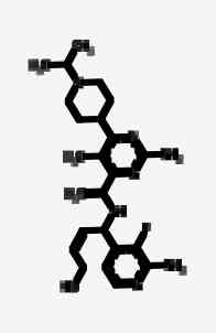 C=C(NC(/C=C\CO)c1ccnc(N)c1F)c1nc(N)nc(C2CCN(C(C)C)CC2)c1C